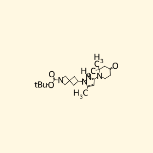 Cc1cc(N2CCC(=O)CC2(C)C)nn1C1CC2(C1)CN(C(=O)OC(C)(C)C)C2